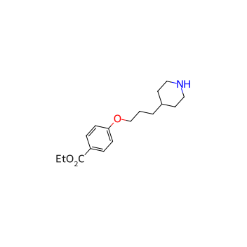 CCOC(=O)c1ccc(OCCCC2CCNCC2)cc1